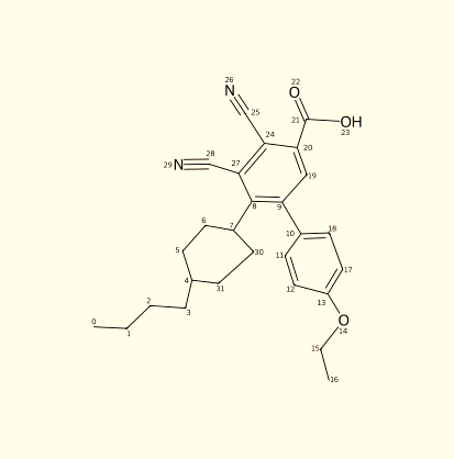 CCCCC1CCC(c2c(-c3ccc(OCC)cc3)cc(C(=O)O)c(C#N)c2C#N)CC1